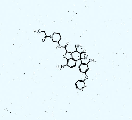 CCC(=O)N1CCCC(NC(=O)C2Sc3c(N)ccc4c3C2C(N)C(=O)C4(N)c2ccc(Oc3cccnn3)cc2C)C1